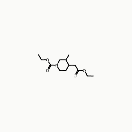 CCOC(=O)CC1CCN(C(=O)OCC)CC1C